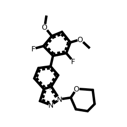 COc1cc(OC)c(F)c(-c2ccc3cnn(C4CCCCO4)c3c2)c1F